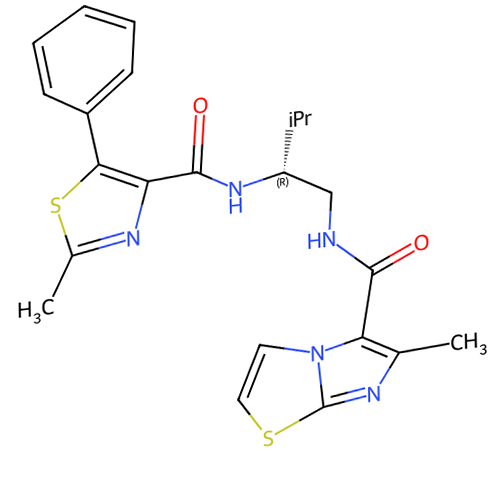 Cc1nc(C(=O)N[C@@H](CNC(=O)c2c(C)nc3sccn23)C(C)C)c(-c2ccccc2)s1